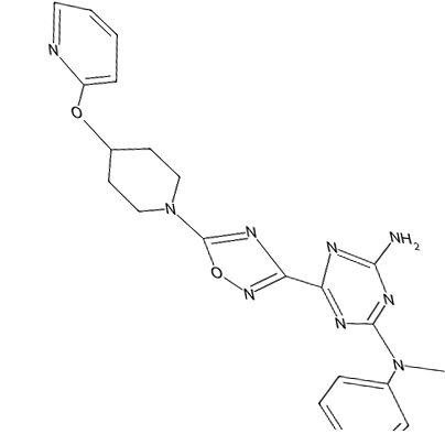 CN(c1ccccc1)c1nc(N)nc(-c2noc(N3CCC(Oc4ccccn4)CC3)n2)n1